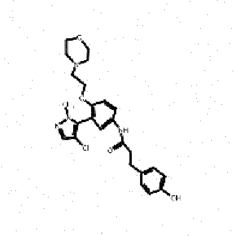 Cn1ncc(Cl)c1-c1cc(NC(=O)CCc2ccc(O)cc2)ccc1OCCN1CCOCC1